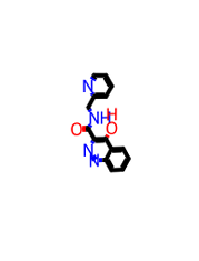 O=C(NCc1ccccn1)c1nnc2ccccc2c1O